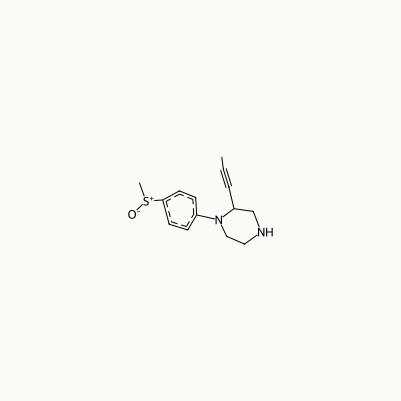 CC#CC1CNCCN1c1ccc([S+](C)[O-])cc1